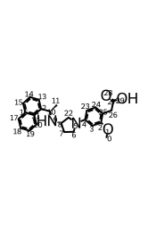 COc1cc(N2CC[C@H](N[C@H](C)c3cccc4ccccc34)C2)ccc1CC(=O)O